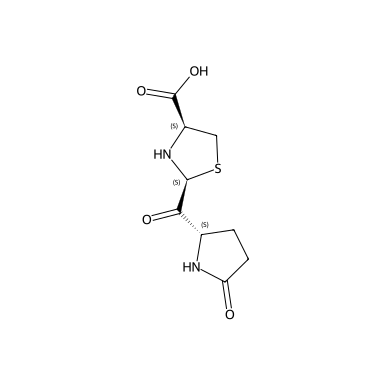 O=C1CC[C@@H](C(=O)[C@H]2N[C@@H](C(=O)O)CS2)N1